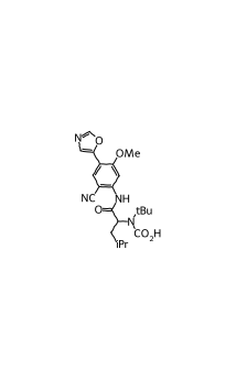 COc1cc(NC(=O)C(CC(C)C)N(C(=O)O)C(C)(C)C)c(C#N)cc1-c1cnco1